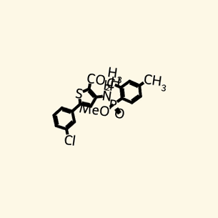 COP(=O)(Nc1cc(-c2cccc(Cl)c2)sc1C(=O)O)c1ccc(C)cc1C